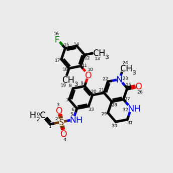 C=CS(=O)(=O)Nc1ccc(Oc2c(C)cc(F)cc2C)c(-c2cn(C)c(=O)c3c2CCCN3)c1